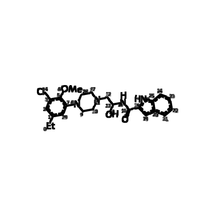 CCc1cc(Cl)c(OC)c(N2CCN(CC(O)NC(=O)c3cc4ccccc4[nH]3)CC2)c1